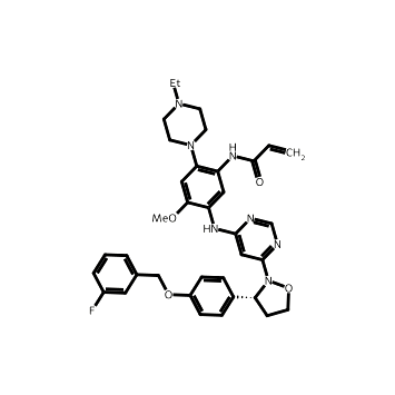 C=CC(=O)Nc1cc(Nc2cc(N3OCC[C@@H]3c3ccc(OCc4cccc(F)c4)cc3)ncn2)c(OC)cc1N1CCN(CC)CC1